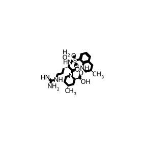 C[C@@H]1CNc2c(cccc2S(=O)(=O)N[C@@H](CCCNC(=N)N)C(=O)N2CC[C@@H](C)C[C@@H]2C(=O)O)C1.O